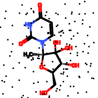 C[C@@]1(n2ccc(=O)[nH]c2=O)O[C@H](CO)[C@@H](O)C1(O)O